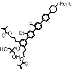 C=C(C)C(=O)OCCCc1cc(-c2ccc(-c3ccc(-c4ccc(C5CCC(CCCCC)CC5)cc4)cc3F)cc2CC)cc(CCCOC(=O)C(=C)C)c1OCC(C)(CO)CO